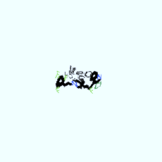 COc1ccc2ncc(Cl)c(C(F)CCC3(CC(=O)O)CCN(CCCc4c(F)cc(F)cc4F)CC3)c2c1